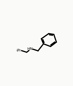 C[C](C)CNCc1ccccc1